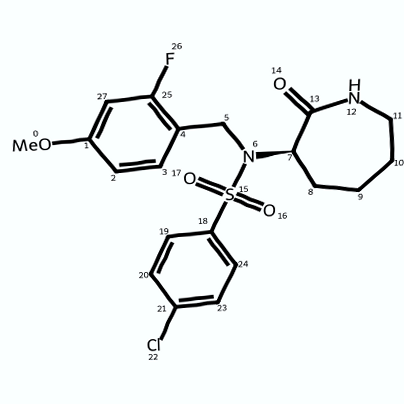 COc1ccc(CN([C@@H]2CCCCNC2=O)S(=O)(=O)c2ccc(Cl)cc2)c(F)c1